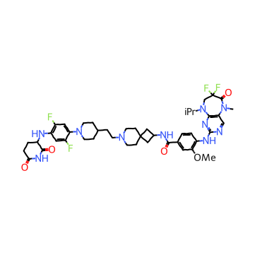 COc1cc(C(=O)NC2CC3(CCN(CCC4CCN(c5cc(F)c(NC6CCC(=O)NC6=O)cc5F)CC4)CC3)C2)ccc1Nc1ncc2c(n1)N(C(C)C)CC(F)(F)C(=O)N2C